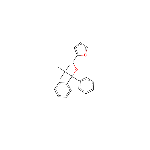 CC(C)(C)[Si](OCc1ccco1)(c1ccccc1)c1ccccc1